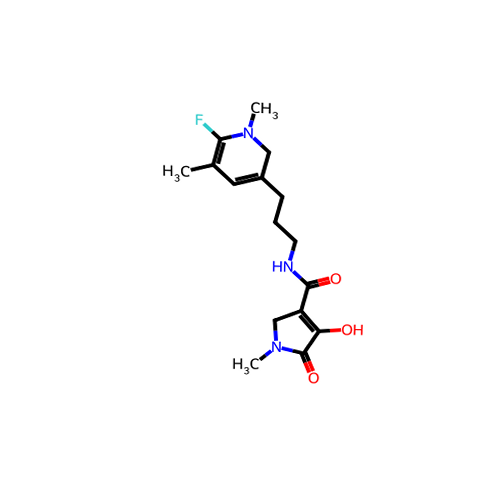 CC1=C(F)N(C)CC(CCCNC(=O)C2=C(O)C(=O)N(C)C2)=C1